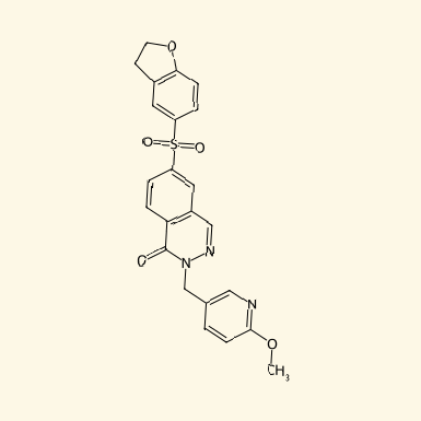 COc1ccc(Cn2ncc3cc(S(=O)(=O)c4ccc5c(c4)CCO5)ccc3c2=O)cn1